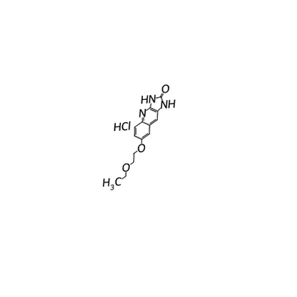 CCOCCOc1ccc2nc3[nH]c(=O)[nH]c3cc2c1.Cl